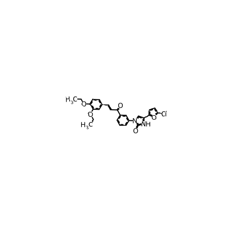 CCOc1ccc(C=CC(=O)c2cccc(-n3cc(-c4ccc(Cl)o4)[nH]c3=O)c2)cc1OCC